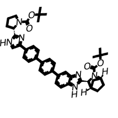 CC(C)(C)OC(=O)N1CCC[C@H]1c1nc(-c2ccc(-c3ccc(-c4ccc5[nH]c([C@@H]6[C@H]7CC[C@H](C7)N6C(=O)OC(C)(C)C)nc5c4)cc3)cc2)c[nH]1